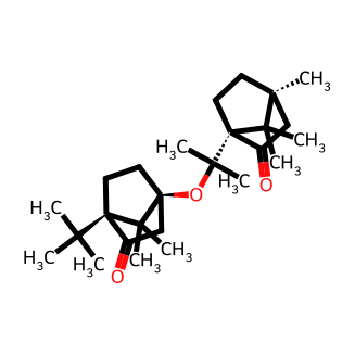 CC(C)(C)[C@]12CC[C@](OC(C)(C)[C@@]34CC[C@@](C)(CC3=O)C4(C)C)(CC1=O)C2(C)C